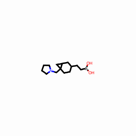 OB(O)CCC1CCC2(CN3CCCC3)CC2C1